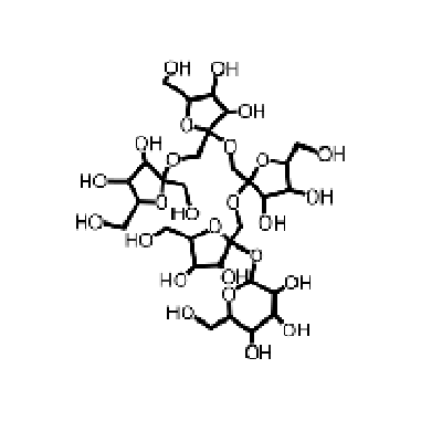 OCC1OC(OC2(COC3(COC4(COC5(CO)OC(CO)C(O)C5O)OC(CO)C(O)C4O)OC(CO)C(O)C3O)OC(CO)C(O)C2O)C(O)C(O)C1O